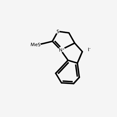 CSC1=[N+]2c3ccccc3CC2CS1.[I-]